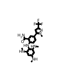 CNc1cc(NC)c(Nc2ccc(-c3cc(C(F)(F)F)nn3C)cc2C(N)=O)c(NC)c1